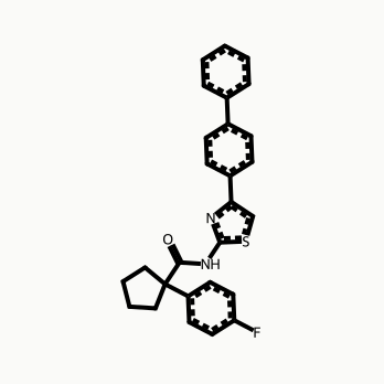 O=C(Nc1nc(-c2ccc(-c3ccccc3)cc2)cs1)C1(c2ccc(F)cc2)CCCC1